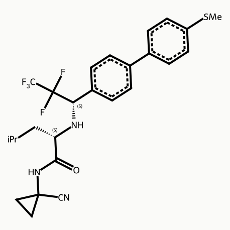 CSc1ccc(-c2ccc([C@H](N[C@@H](CC(C)C)C(=O)NC3(C#N)CC3)C(F)(F)C(F)(F)F)cc2)cc1